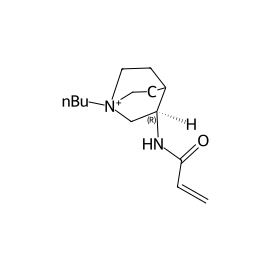 C=CC(=O)N[C@H]1C[N+]2(CCCC)CCC1CC2